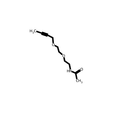 CC#CCOCCOCCNC(C)=O